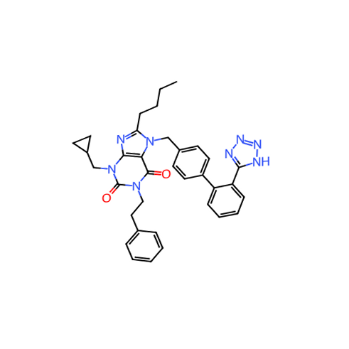 CCCCc1nc2c(c(=O)n(CCc3ccccc3)c(=O)n2CC2CC2)n1Cc1ccc(-c2ccccc2-c2nnn[nH]2)cc1